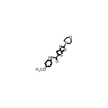 COc1ccc(NC(=O)c2cc3nc(N4CCOCC4)sc3s2)cc1